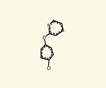 Clc1ccc(Oc2c[c]ccn2)cc1